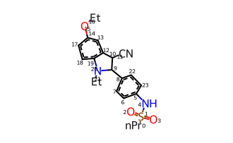 CCCS(=O)(=O)Nc1ccc(C2C(C#N)c3cc(OCC)ccc3N2CC)cc1